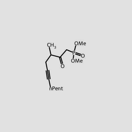 CCCCCC#CCC(C)C(=O)CP(=O)(OC)OC